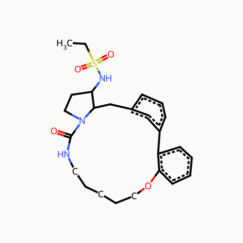 CCS(=O)(=O)NC1CCN2C(=O)NCCCCCOc3ccccc3-c3cccc(c3)CC12